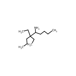 CCCCC(N)C(CC)(CC)CCC